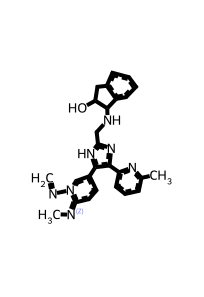 C=Nn1cc(-c2[nH]c(CNC3c4ccccc4CC3O)nc2-c2cccc(C)n2)cc/c1=N/C